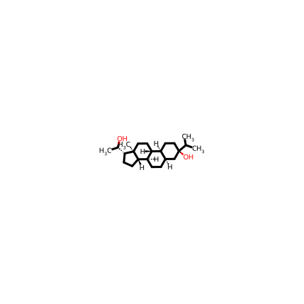 CC(O)[C@H]1CC[C@H]2[C@@H]3CC[C@@H]4C[C@@](O)(C(C)C)CC[C@@H]4[C@H]3CC[C@]12C